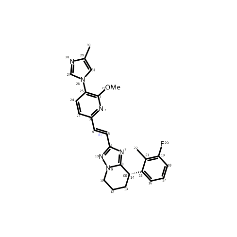 COc1nc(/C=C/c2nc3n(n2)CCC[C@H]3c2cccc(F)c2C)ccc1-n1cnc(C)c1